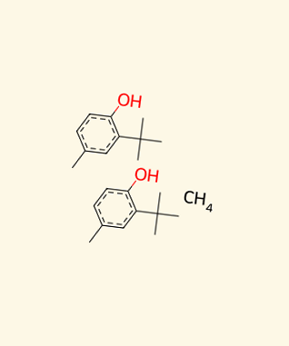 C.Cc1ccc(O)c(C(C)(C)C)c1.Cc1ccc(O)c(C(C)(C)C)c1